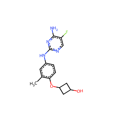 Cc1cc(Nc2ncc(F)c(N)n2)ccc1OC1CC(O)C1